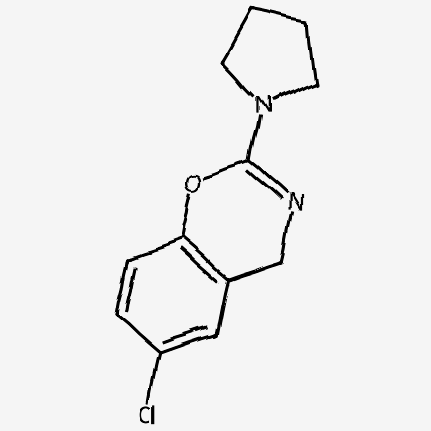 Clc1ccc2c(c1)CN=C(N1CCCC1)O2